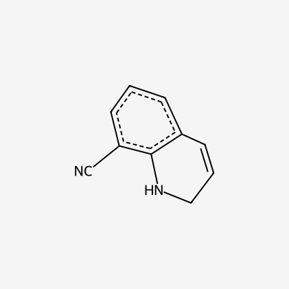 N#Cc1cccc2c1NCC=C2